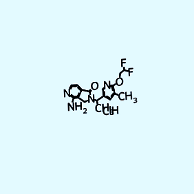 Cc1cc(C(C)N2Cc3c(ccnc3N)C2=O)cnc1OCC(F)F.Cl